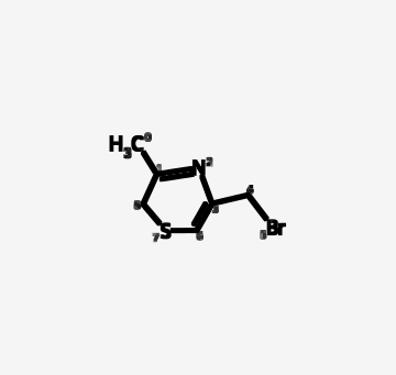 CC1=NC(CBr)=CSC1